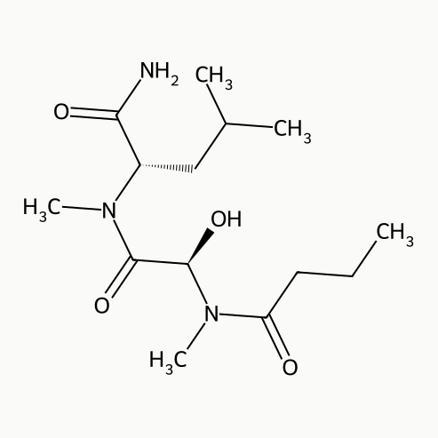 CCCC(=O)N(C)[C@H](O)C(=O)N(C)[C@@H](CC(C)C)C(N)=O